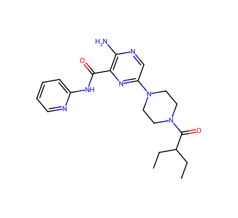 CCC(CC)C(=O)N1CCN(c2cnc(N)c(C(=O)Nc3ccccn3)n2)CC1